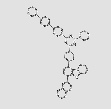 C1=C(c2nc(-c3ccccc3)nc(-c3ccc(-c4ccc(-c5ccccc5)cc4)cc3)n2)CCC(c2ccc(-c3ccc4ccccc4c3)c3oc4ccccc4c23)=C1